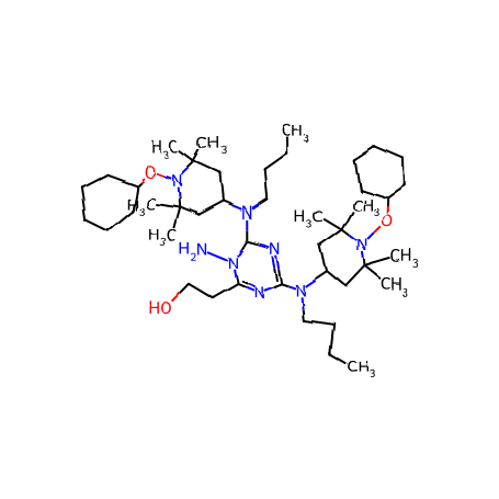 CCCCN(C1=NC(N(CCCC)C2CC(C)(C)N(OC3CCCCC3)C(C)(C)C2)N(N)C(CCO)=N1)C1CC(C)(C)N(OC2CCCCC2)C(C)(C)C1